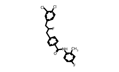 Cc1cc(F)ccc1NC(=O)c1ccc(CC(F)Cc2ccc(Cl)c(Cl)c2)cc1